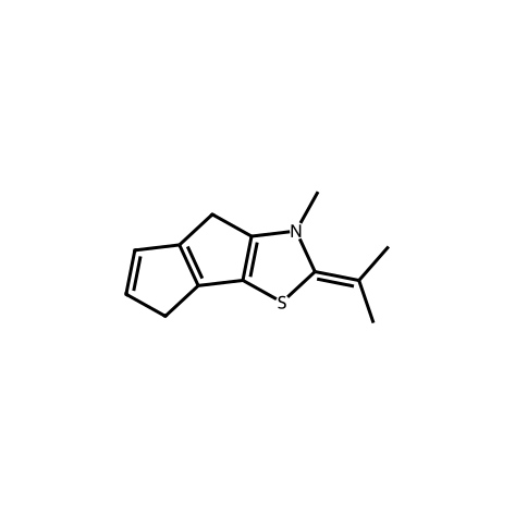 CC(C)=C1SC2=C(CC3=C2CC=C3)N1C